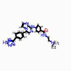 CCN(CC)CCNC(=O)c1ccc(Nc2ncc(-c3ccc(-c4nn[nH]n4)cc3)n3ccnc23)cc1